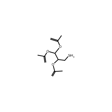 C=C(C)OC(C[SiH3])C(OC(=C)C)OC(=C)C